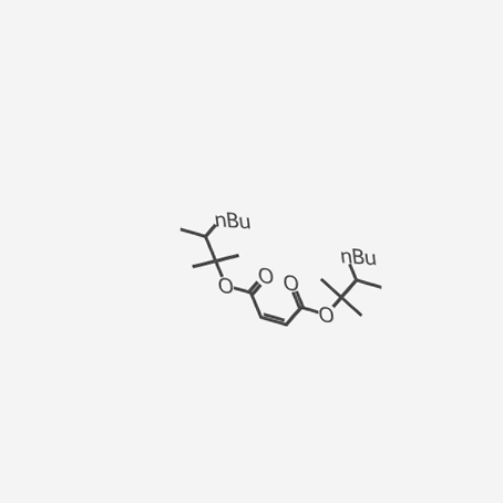 CCCCC(C)C(C)(C)OC(=O)/C=C\C(=O)OC(C)(C)C(C)CCCC